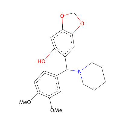 COc1ccc(C(c2cc3c(cc2O)OCO3)N2CCCCC2)cc1OC